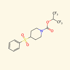 O=C(OC(C(F)(F)F)C(F)(F)F)N1CCC(S(=O)(=O)c2ccccc2)CC1